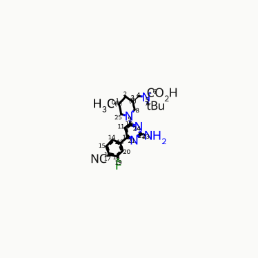 C[C@@H]1C[C@@H](CN(C(=O)O)C(C)(C)C)CN(c2cc(-c3ccc(C#N)c(F)c3)nc(N)n2)C1